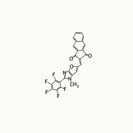 Cn1c(-c2c(F)c(F)c(F)c(F)c2F)nc2oc(C=C3C(=O)c4cc5ccccc5cc4C3=O)cc21